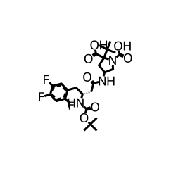 CC(C)(C)OC(=O)N[C@@H](CC(=O)NC1CN(C(=O)O)C(C(=O)O)(C(C)(C)C)C1)Cc1cc(F)c(F)cc1F